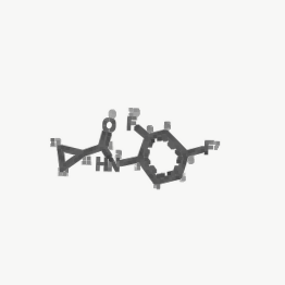 O=C(Nc1ccc(F)cc1F)C1CC1